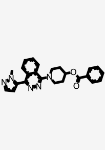 Cn1nccc1-c1nnc(N2CCC(OC(=O)c3ccccc3)CC2)c2ccccc12